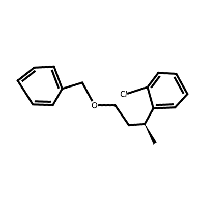 C[C@@H](CCOCc1ccccc1)c1ccccc1Cl